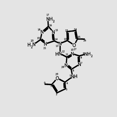 Cc1ccc(Nc2nc(N)nc(NN(c3nc(N)nc(N)n3)c3ccc(C)o3)n2)o1